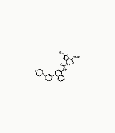 COC(=O)c1sc(C(C)(C)C)cc1NC(=O)Nc1ccc(C2=CC(N3CCOCC3)CCC2)c2ccccc12